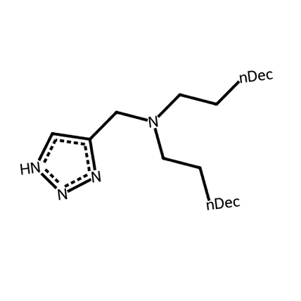 CCCCCCCCCCCCN(CCCCCCCCCCCC)Cc1c[nH]nn1